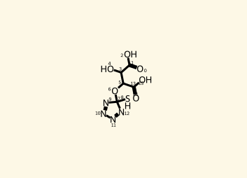 O=C(O)C(O)C(OC1(S)N=NN=N1)C(=O)O